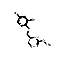 CC(C)C[C@@H](COc1ncc(Br)cc1Br)NC(=O)OC(C)(C)C